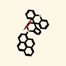 c1ccc2c(c1)Oc1ccccc1C21c2ccccc2N(c2ccc3ccc4cccc5ccc2c3c45)c2ccccc21